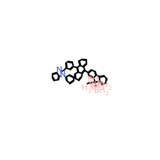 BC(B)(B)C1(C(B)(B)C)c2ccccc2-c2ccc(-c3c4ccccc4c(-c4cccc(-c5nc6ccccc6n5-c5ccccc5)c4)c4ccccc34)cc21